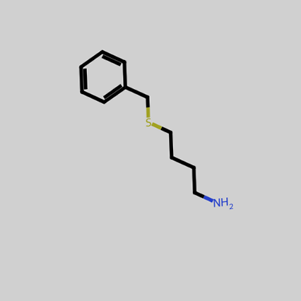 NCCCCSCc1ccccc1